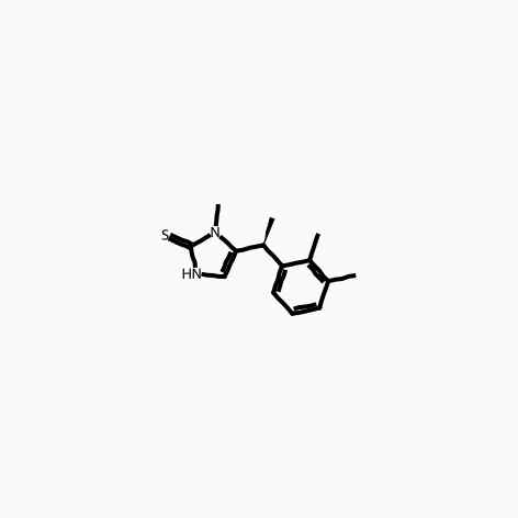 Cc1cccc([C@H](C)c2c[nH]c(=S)n2C)c1C